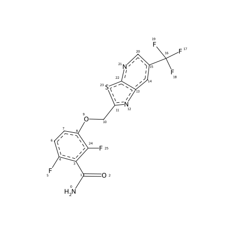 NC(=O)c1c(F)ccc(OCc2nc3cc(C(F)(F)F)cnc3s2)c1F